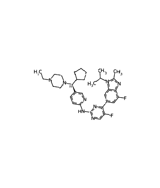 CCN1CCN([C@H](c2ccc(Nc3ncc(F)c(-c4cc(F)c5nc(C)n(C(C)C)c5c4)n3)nc2)C2CCCC2)CC1